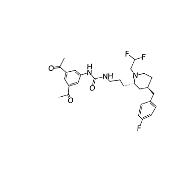 CC(=O)c1cc(NC(=O)NCCC[C@H]2C[C@H](Cc3ccc(F)cc3)CCN2CC(F)F)cc(C(C)=O)c1